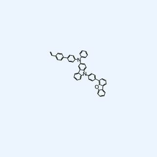 C=Cc1ccc(-c2ccc(N(c3ccccc3)c3ccc4c(c3)c3ccccc3n4-c3ccc(-c4cccc5c4oc4ccccc45)cc3)cc2)cc1